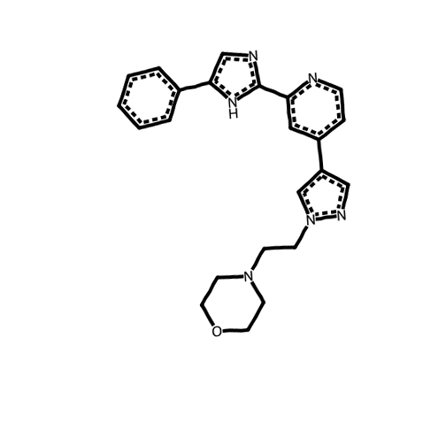 c1ccc(-c2cnc(-c3cc(-c4cnn(CCN5CCOCC5)c4)ccn3)[nH]2)cc1